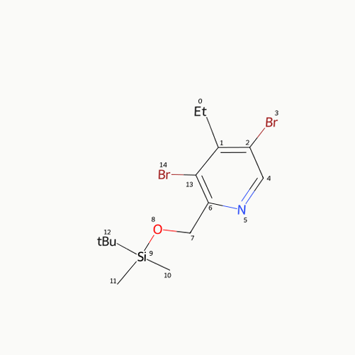 CCc1c(Br)cnc(CO[Si](C)(C)C(C)(C)C)c1Br